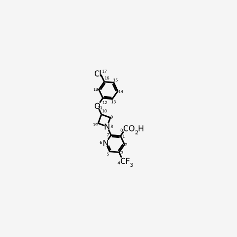 O=C(O)c1cc(C(F)(F)F)cnc1N1CC(Oc2cccc(Cl)c2)C1